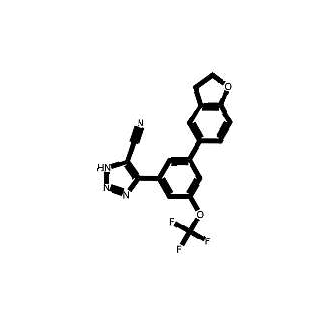 N#Cc1[nH]nnc1-c1cc(OC(F)(F)F)cc(-c2ccc3c(c2)CCO3)c1